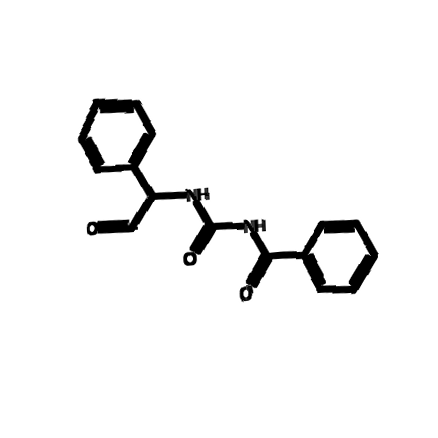 O=[C]C(NC(=O)NC(=O)c1ccccc1)c1ccccc1